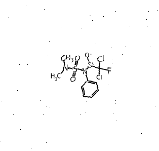 CN(C)S(=O)(=O)N(c1ccccc1)[S+]([O-])C(F)(Cl)Cl